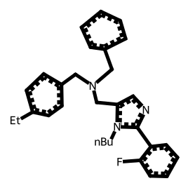 CCCCn1c(CN(Cc2ccccc2)Cc2ccc(CC)cc2)cnc1-c1ccccc1F